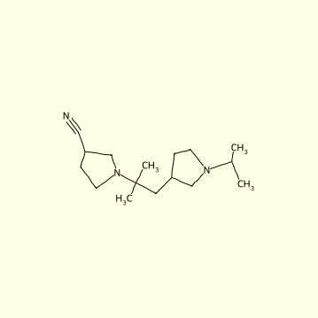 CC(C)N1CCC(CC(C)(C)N2CCC(C#N)C2)C1